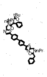 CCCN(Cc1ncc(-c2ccc(-c3ccc(-c4cnc(CN(CCC)C(=O)[C@@H](NC(=O)C(C)(C)C)c5ccccc5)s4)cc3)cc2)s1)C(=O)Cc1ccccc1